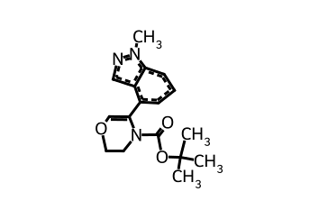 Cn1ncc2c(C3=COCCN3C(=O)OC(C)(C)C)cccc21